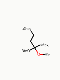 [CH2]CCCCCCCCCCC(CCCCCC)(OC)OC(C)C